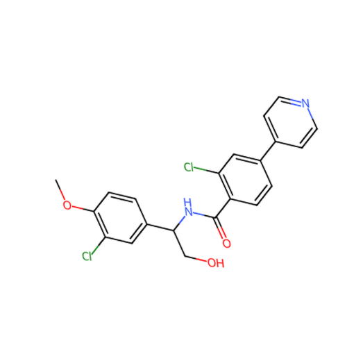 COc1ccc(C(CO)NC(=O)c2ccc(-c3ccncc3)cc2Cl)cc1Cl